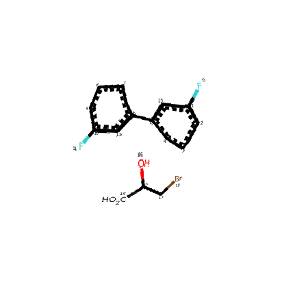 Fc1cccc(-c2cccc(F)c2)c1.O=C(O)C(O)CBr